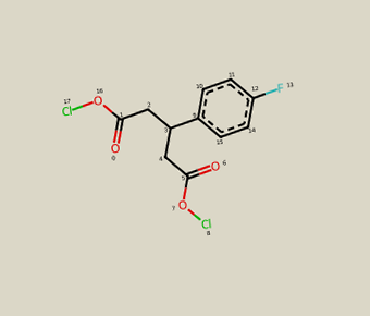 O=C(CC(CC(=O)OCl)c1ccc(F)cc1)OCl